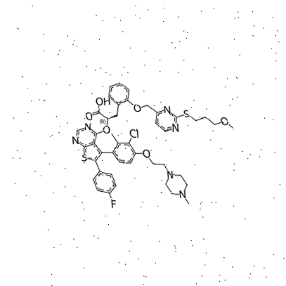 COCCCSc1nccc(COc2ccccc2C[C@@H](Oc2ncnc3sc(-c4ccc(F)cc4)c(-c4ccc(OCCN5CCN(C)CC5)c(Cl)c4C)c23)C(=O)O)n1